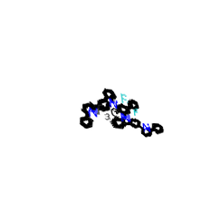 Fc1cccc(F)c1-c1cc(-n2c3ccccc3c3cc(-c4cccc(-c5ccccc5)n4)ccc32)c(C(F)(F)F)c(-n2c3ccccc3c3cc(-c4cccc(-c5ccccc5)n4)ccc32)c1